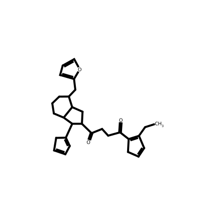 CCC1=C(C(=O)CCC(=O)C2CC3C(Cc4ccco4)CCCC3C2C2=CC=CC2)CC=C1